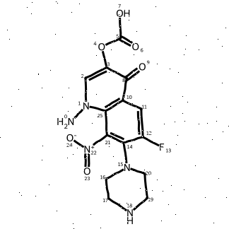 Nn1cc(OC(=O)O)c(=O)c2cc(F)c(N3CCNCC3)c([N+](=O)[O-])c21